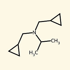 CC(C)N(CC1CC1)CC1CC1